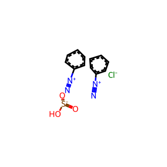 N#[N+]c1ccccc1.N#[N+]c1ccccc1.O=[S-](=O)O.[Cl-]